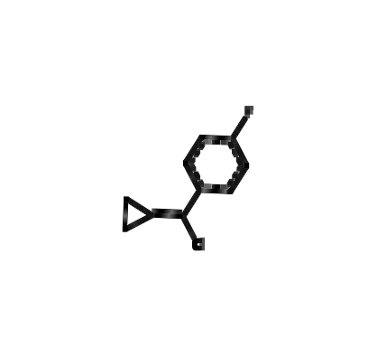 Fc1ccc(C(Cl)=C2CC2)cc1